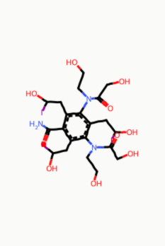 NC(=O)c1c(CC(O)I)c(N(CCO)C(=O)CO)c(CC(O)I)c(N(CCO)C(=O)CO)c1CC(O)I